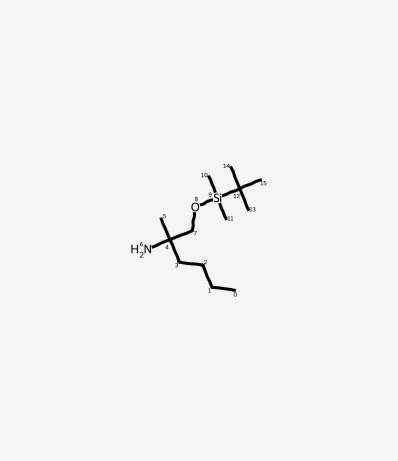 CCCCC(C)(N)CO[Si](C)(C)C(C)(C)C